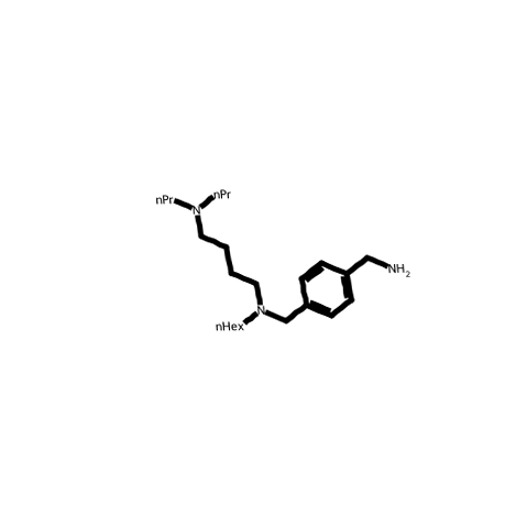 CCCCCCN(CCCCN(CCC)CCC)Cc1ccc(CN)cc1